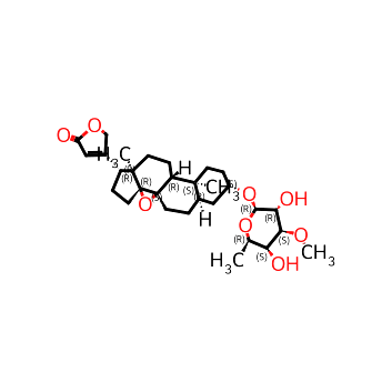 CO[C@H]1[C@@H](O)[C@@H](C)O[C@@H](O[C@H]2CC[C@@]3(C)[C@H](CC[C@@]45O[C@@]46CC[C@H](C4=CC(=O)OC4)[C@@]6(C)CC[C@H]35)C2)[C@@H]1O